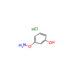 Cl.NOc1cccc(O)c1